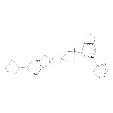 CC(C)(CC(O)(Cc1cc2cc(-c3ccccc3)ncc2[nH]1)C(F)(F)F)c1cc(-c2cncnc2)cc2c1OCC2